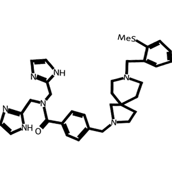 CSc1ccccc1CN1CCC2(CC1)CCN(Cc1ccc(C(=O)N(Cc3ncc[nH]3)Cc3ncc[nH]3)cc1)C2